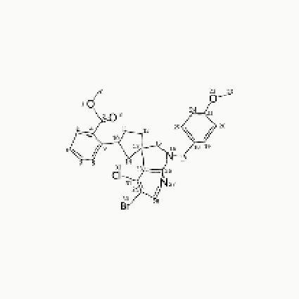 COC(=O)c1ccccc1C1CCC2(C1)CN(Cc1ccc(OC)cc1)c1ncc(Br)c(Cl)c12